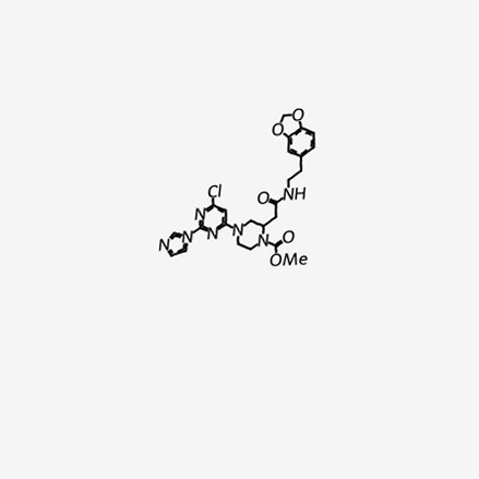 COC(=O)N1CCN(c2cc(Cl)nc(-n3ccnc3)n2)CC1CC(=O)NCCc1ccc2c(c1)OCO2